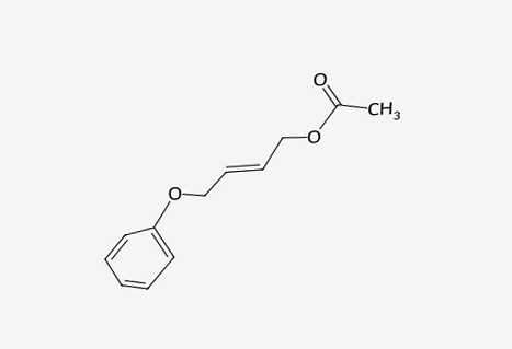 CC(=O)OCC=CCOc1ccccc1